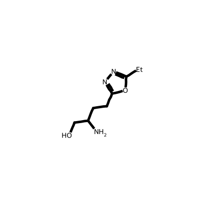 CCc1nnc(CCC(N)CO)o1